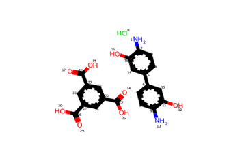 Cl.Nc1ccc(-c2ccc(N)c(O)c2)cc1O.O=C(O)c1cc(C(=O)O)cc(C(=O)O)c1